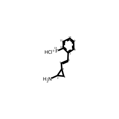 Cl.NC1CC1/C=C/c1ccccc1F